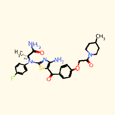 CC1CCN(C(=O)COc2ccc(C(=O)c3sc(N(c4ccc(F)cc4)[C@H](C)C(N)=O)nc3N)cc2)CC1